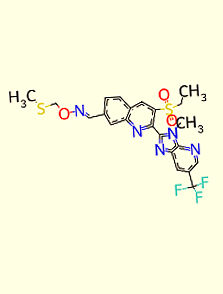 CCS(=O)(=O)c1cc2ccc(C=NOCSC)cc2nc1-c1nc2cc(C(F)(F)F)cnc2n1C